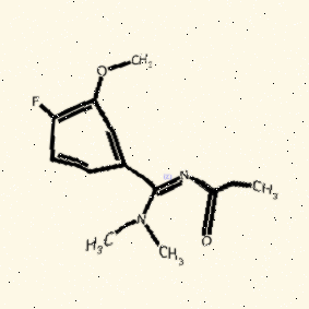 COc1cc(/C(=N/C(C)=O)N(C)C)ccc1F